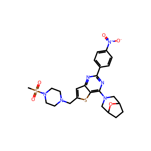 CS(=O)(=O)N1CCN(Cc2cc3nc(-c4ccc([N+](=O)[O-])cc4)nc(N4CC5CCC(C4)O5)c3s2)CC1